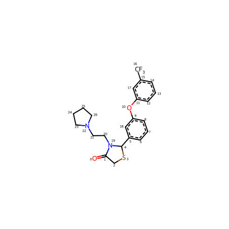 O=C1CSC(c2cccc(Oc3cccc(C(F)(F)F)c3)c2)N1CCN1CCCC1